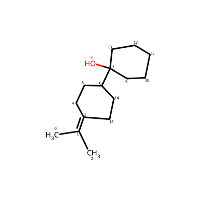 CC(C)=C1CCC(C2(O)CCCCC2)CC1